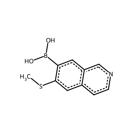 CSc1cc2ccncc2cc1B(O)O